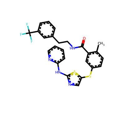 Cc1ccc(Sc2cnc(Nc3ccccn3)s2)cc1C(=O)NCCc1cccc(C(F)(F)F)c1